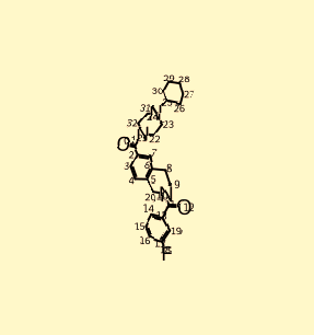 O=C(c1ccc2c(c1)CCN(C(=O)c1cccc(F)c1)C2)N1CCN(C2CCCCC2)CC1